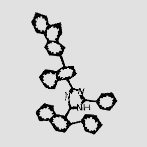 c1ccc(C2=NC(c3ccc(-c4ccc5c(ccc6ccccc65)c4)c4ccccc34)=NC(c3c(-c4ccccc4)ccc4ccccc34)N2)cc1